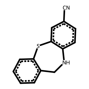 N#Cc1ccc2c(c1)Sc1ccccc1CN2